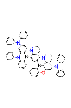 c1ccc(N(c2ccccc2)c2cc3c4c(c2)N(c2ccccc2)c2ccccc2B4c2cc4c(c5c2N3CCC5)N2CCCc3c(N(c5ccccc5)c5ccccc5)cc5c(c32)B4c2ccccc2O5)cc1